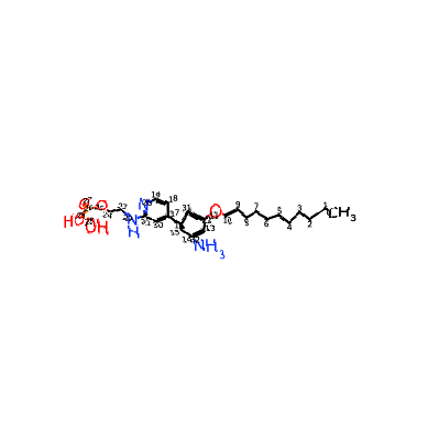 CCCCCCCCCCCOc1cccc(-c2ccnc(NCCOP(=O)(O)O)c2)c1.N